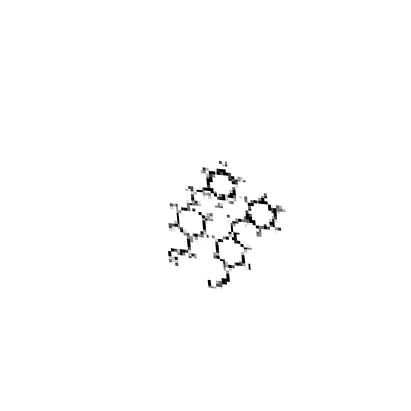 O=CC1CCN(Cc2ccccc2)CC1.O=CC1CCN(Cc2ccccc2)CC1